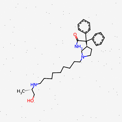 C[C@@H](CO)NCCCCCCCCCN1CC[C@H](C(C(N)=O)(c2ccccc2)c2ccccc2)C1